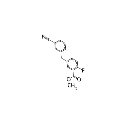 COC(=O)c1cc(Cc2cccc(C#N)c2)ccc1F